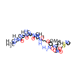 COc1cc(C(=O)N2CC(C)C[C@H]2[C@@H]2OCCN2C(=O)OCCSSc2ccccn2)c(N)cc1OCCCC(=O)Nc1cc(C(=O)Nc2cc(C(=O)Nc3cc(C(=O)NCCCN(C)C)n(C)c3)n(C)c2)n(C)c1